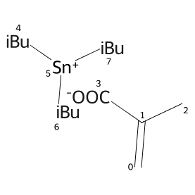 C=C(C)C(=O)[O-].CC[CH](C)[Sn+]([CH](C)CC)[CH](C)CC